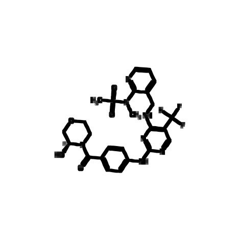 CN(c1ncccc1CNc1nc(Nc2ccc(C(=O)N3CCOC[C@@H]3O)cc2)ncc1C(F)(F)F)S(C)(=O)=O